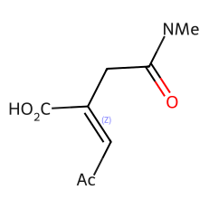 CNC(=O)C/C(=C/C(C)=O)C(=O)O